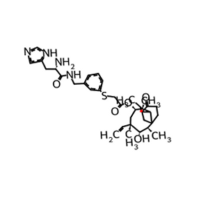 C=C[C@]1(C)C[C@@H](OC(=O)CSc2cccc(CNC(=O)[C@@H](N)Cc3cnc[nH]3)c2)[C@]2(C)C(C)CC34CC(CCC3=O)(C42)[C@@H](C)[C@@H]1O